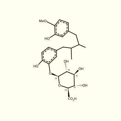 COc1ccc(CC(C)C(C)Cc2ccc(O)c(O[C@@H]3O[C@H](C(=O)O)[C@@H](O)[C@H](O)[C@H]3O)c2)cc1O